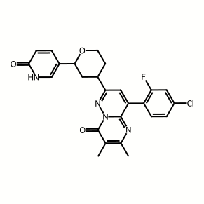 Cc1nc2c(-c3ccc(Cl)cc3F)cc(C3CCOC(c4ccc(=O)[nH]c4)C3)nn2c(=O)c1C